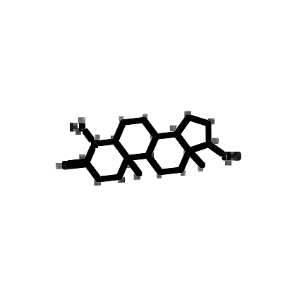 CC12CCC3C(CCC4N(P)C(=O)CCC34C)C1CCC2C=O